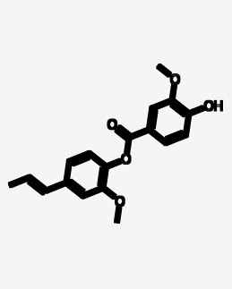 CC=Cc1ccc(OC(=O)c2ccc(O)c(OC)c2)c(OC)c1